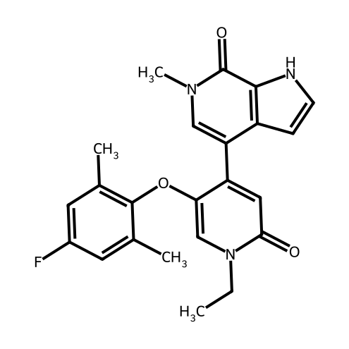 CCn1cc(Oc2c(C)cc(F)cc2C)c(-c2cn(C)c(=O)c3[nH]ccc23)cc1=O